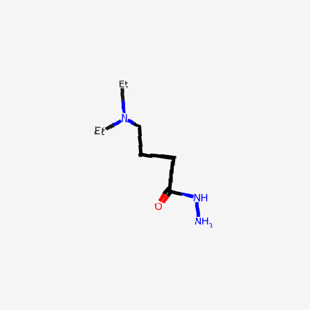 CCN(CC)CCCC(=O)NN